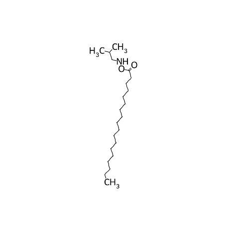 CCCCCCCCCCCCCCCCCC(=O)ONCC(C)C